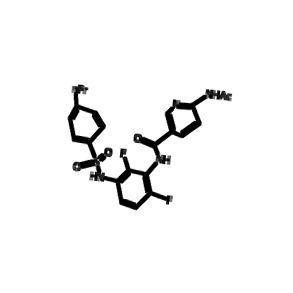 CCCc1ccc(S(=O)(=O)Nc2ccc(F)c(NC(=O)c3ccc(NC(C)=O)nc3)c2F)cc1